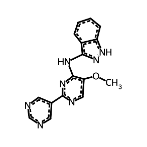 COc1cnc(-c2cncnc2)nc1Nc1n[nH]c2ccccc12